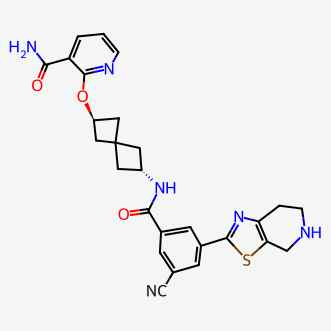 N#Cc1cc(C(=O)N[C@H]2CC3(C2)C[C@H](Oc2ncccc2C(N)=O)C3)cc(-c2nc3c(s2)CNCC3)c1